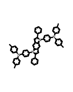 Cc1ccc(N(c2ccc(C)cc2)c2ccc(-n3c(-c4ccccc4)cc4cc5c(cc(-c6ccccc6)n5-c5ccc(N(c6ccc(C)cc6)c6ccc(C)cc6)cc5)cc43)cc2)cc1